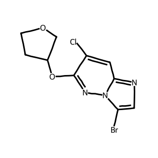 Clc1cc2ncc(Br)n2nc1OC1CCOC1